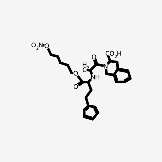 CC(NC(CCc1ccccc1)C(=O)OCCCCCO[N+](=O)[O-])C(=O)N1Cc2ccccc2CC1C(=O)O